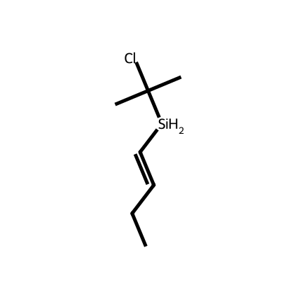 CCC=C[SiH2]C(C)(C)Cl